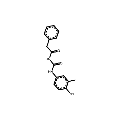 CC(C)c1ccc(NC(=O)NC(=O)Cc2ccccc2)cc1F